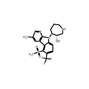 Cc1cnc2c(c1)c1c(S(C)(=O)=O)c(C(F)(F)F)ccc1n2[C@H]1CCCNC[C@@H]1O